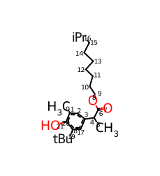 Cc1cc(C(C)C(=O)OCCCCCCCC(C)C)cc(C(C)(C)C)c1O